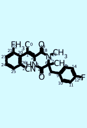 CC(=C1NC(=O)C(C)(Cc2ccc(F)cc2)N(C)C1=O)c1c(F)cccc1C#N